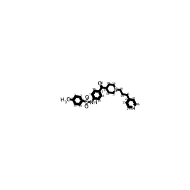 Cc1ccc(S(=O)(=O)Nc2ccc(C(=O)C3CCN(CCCc4ccncc4)CC3)cc2)cc1